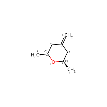 C=C1C[C@@H](C)O[C@@H](C)C1